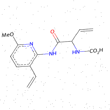 C=Cc1ccc(OC)nc1NC(=O)C(C=C)NC(=O)O